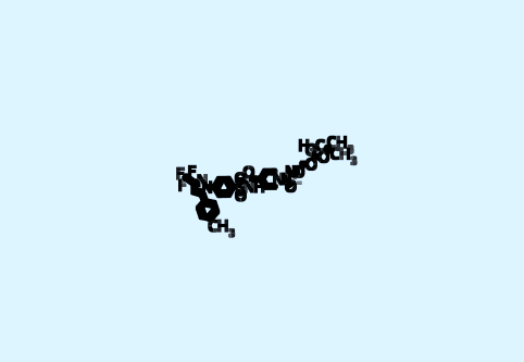 Cc1ccc(-c2cc(C(F)(F)F)nn2-c2ccc(S(=O)(=O)NC(=O)C3CCN(/[N+]([O-])=N/OCOC(=O)OC(C)(C)C)CC3)cc2)cc1